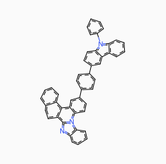 c1ccc(-n2c3ccccc3c3cc(-c4ccc(-c5ccc6c(c5)c5c7ccccc7ccc5c5nc7ccccc7n65)cc4)ccc32)cc1